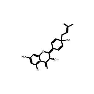 CC(C)=CCC1(O)C=CC(=C2Oc3cc(O)cc(O)c3C(=O)C2O)C=C1